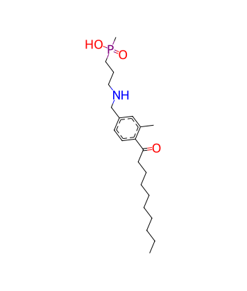 CCCCCCCCCC(=O)c1ccc(CNCCCP(C)(=O)O)cc1C